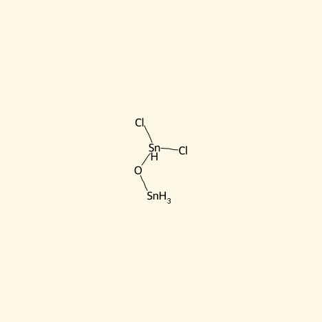 [Cl][SnH]([Cl])[O][SnH3]